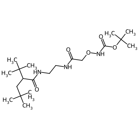 CC(C)(C)CC(C(=O)NCCNC(=O)CONC(=O)OC(C)(C)C)C(C)(C)C